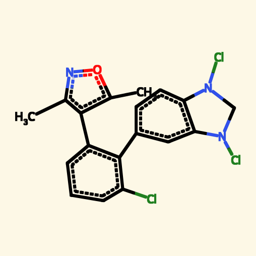 Cc1noc(C)c1-c1cccc(Cl)c1-c1ccc2c(c1)N(Cl)CN2Cl